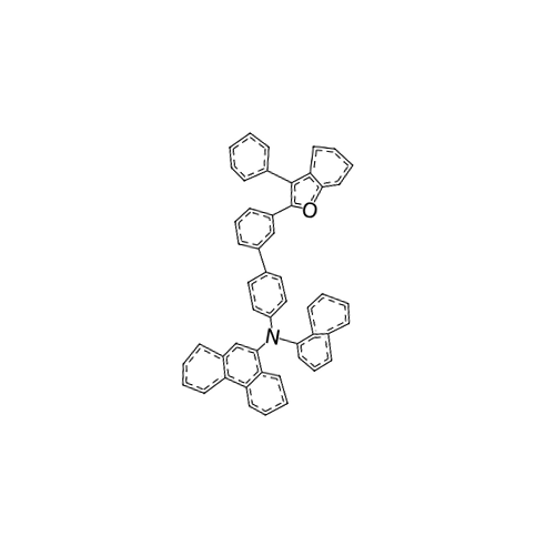 c1ccc(-c2c(-c3cccc(-c4ccc(N(c5cccc6ccccc56)c5cc6ccccc6c6ccccc56)cc4)c3)oc3ccccc23)cc1